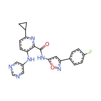 O=C(Nc1cc(-c2ccc(F)cc2)no1)c1nc(C2CC2)ccc1Nc1cncnc1